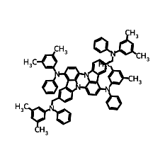 Cc1cc(C)cc(N(Cc2ccc3c(c2)c2c(N(c4ccccc4)c4cc(C)cc(C)c4)ccc4c2n3c2ccc(N(c3ccccc3)c3cc(C)cc(C)c3)c3c5cc(CN(c6ccccc6)c6cc(C)cc(C)c6)ccc5n4c32)c2ccccc2)c1